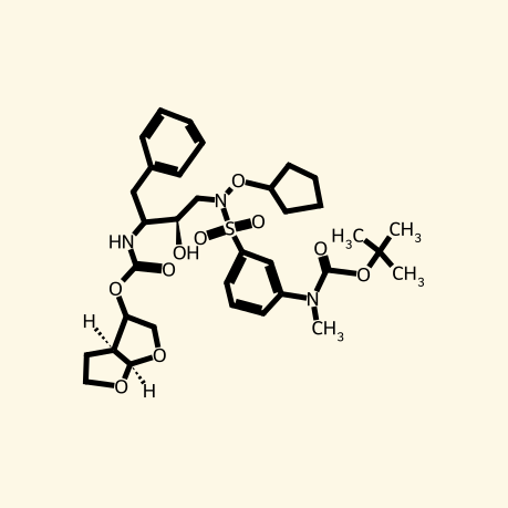 CN(C(=O)OC(C)(C)C)c1cccc(S(=O)(=O)N(C[C@@H](O)C(Cc2ccccc2)NC(=O)OC2CO[C@H]3OCC[C@@H]23)OC2CCCC2)c1